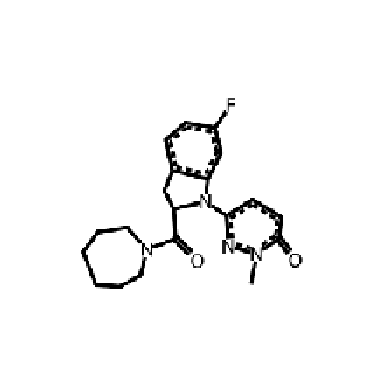 Cn1nc(N2c3cc(F)ccc3CC2C(=O)N2CCCCCC2)ccc1=O